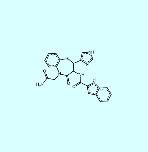 NC(=O)CN1C(=O)C(NC(=O)c2cc3ccccc3[nH]2)C(c2c[nH]cn2)Sc2ccccc21